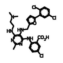 Cc1nc(NCCN(C)C)c(NCc2ccc(-c3cc(Cl)ccc3Cl)o2)c(Nc2ccc(Cl)cc2C(=O)O)n1